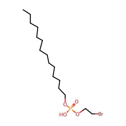 CCCCCCCCCCCCCCOP(=O)(O)OCCBr